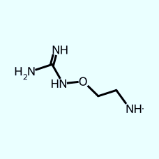 [NH]CCONC(=N)N